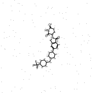 O=C1CCC(N2Cc3cc(C4CCN(CC5CCC(C(F)(F)F)CC5)CC4)ccc3C2=O)C(=O)N1